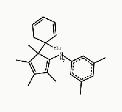 CC1=C(C)C(C)(C2(C(C)(C)C)C=CC=CC2)C([SiH2]c2cc(C)cc(C)c2)=C1C